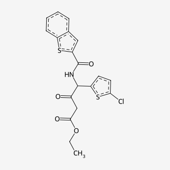 CCOC(=O)CC(=O)C(NC(=O)c1cc2ccccc2s1)c1ccc(Cl)s1